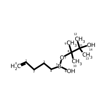 C=CCCCB(O)OC(C)(C)C(C)(C)O